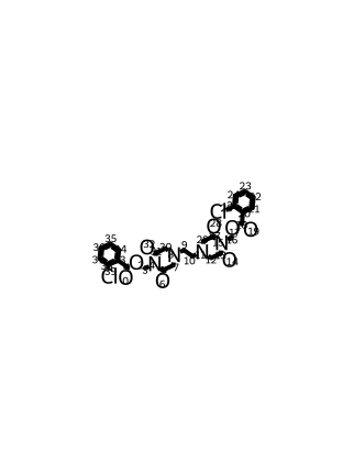 O=C(OCN1C(=O)CN(CCN2CC(=O)N(COC(=O)c3ccccc3Cl)C(=O)C2)CC1=O)c1ccccc1Cl